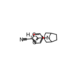 CC(=O)N1CC2CCC(C1)N2c1ccc(C#N)cc1